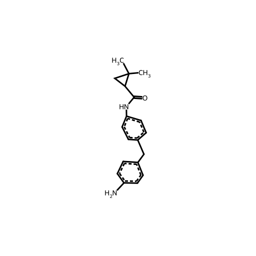 CC1(C)CC1C(=O)Nc1ccc(Cc2ccc(N)cc2)cc1